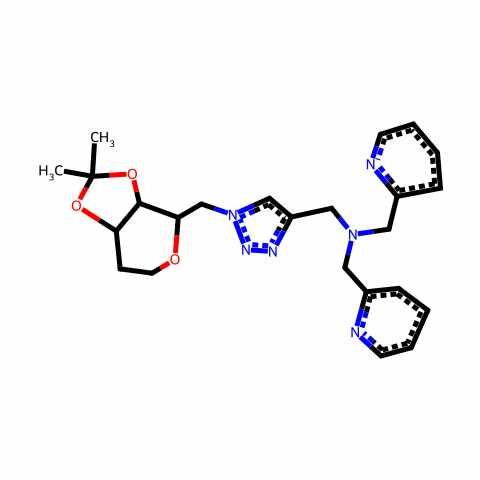 CC1(C)OC2CCOC(Cn3cc(CN(Cc4ccccn4)Cc4ccccn4)nn3)C2O1